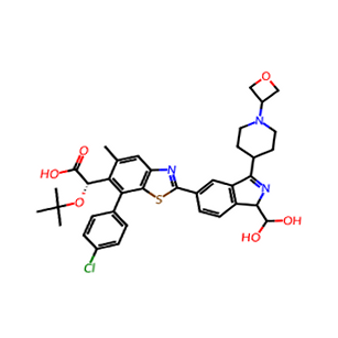 Cc1cc2nc(-c3ccc4c(c3)C(C3CCN(C5COC5)CC3)=NC4C(O)O)sc2c(-c2ccc(Cl)cc2)c1[C@H](OC(C)(C)C)C(=O)O